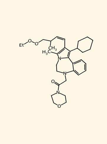 CCOOCC(C)/C=C\c1c(C2CCCCC2)c2n(c1C)CCN(CC(=O)N1CCOCC1)c1ccccc1-2